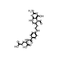 Nc1nc(O)c2c(n1)NCC(CCNc1ccc(C(=O)NC(CCC(=O)O)C(=O)O)cc1)N2C=O